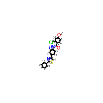 COc1ccc(C(=O)Nc2ccc(-c3csc(-c4ccccc4)n3)cc2)c(Cl)c1